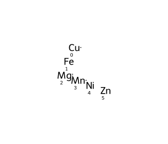 [Cu].[Fe].[Mg].[Mn].[Ni].[Zn]